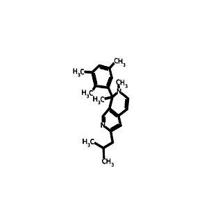 Cc1cc(C)c(C)c(C2(C)c3cnc(CC(C)C)cc3C=CN2C)c1